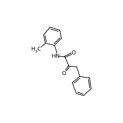 Cc1ccccc1NC(=O)C(=O)Cc1ccccc1